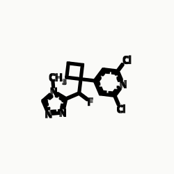 Cn1cnnc1C(F)C1(c2cc(Cl)nc(Cl)c2)CCC1